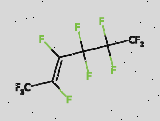 F/C(=C(/F)C(F)(F)C(F)(F)C(F)(F)F)C(F)(F)F